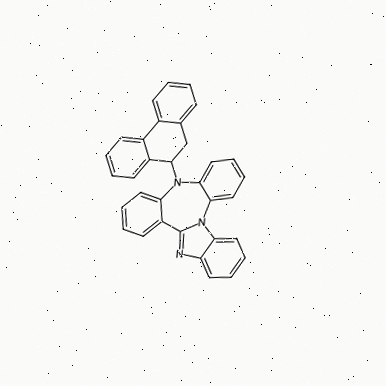 c1ccc2c(c1)CC(N1c3ccccc3-c3nc4ccccc4n3-c3ccccc31)c1ccccc1-2